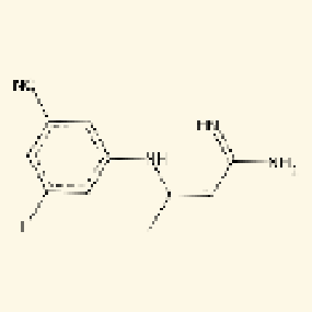 C/C(=C/C(=N)N)Nc1cc(F)cc(C#N)c1